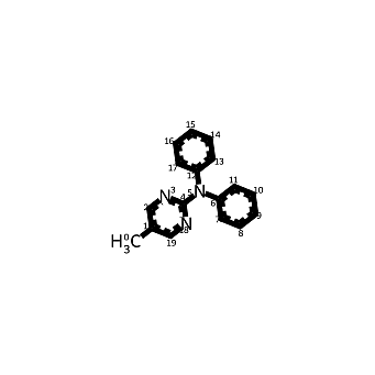 Cc1cnc(N(c2ccccc2)c2ccccc2)nc1